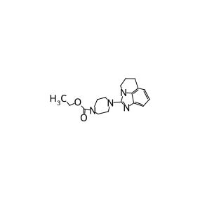 CCOC(=O)N1CCN(c2nc3cccc4c3n2CCC4)CC1